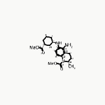 COC(=O)[C@@H]1CCC[C@@H](Nc2ccc3c(c2N)CC[C@H](C)N3C(=O)OC)C1